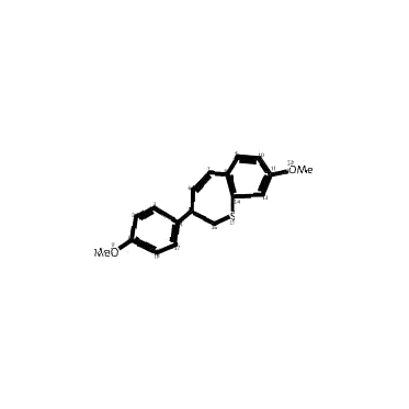 COc1ccc(C2C=Cc3ccc(OC)cc3SC2)cc1